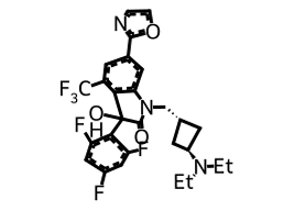 CCN(CC)[C@H]1C[C@H](CN2C(=O)C(O)(c3c(F)cc(F)cc3F)c3c2cc(-c2ncco2)cc3C(F)(F)F)C1